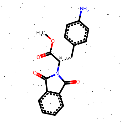 COC(=O)[C@H](Cc1ccc(N)cc1)N1C(=O)c2ccccc2C1=O